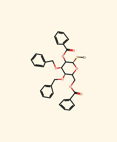 CCS[C@H]1OC(COC(=O)c2ccccc2)[C@@H](OCc2ccccc2)[C@@H](OCc2ccccc2)C1OC(=O)c1ccccc1